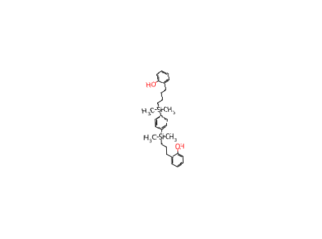 C[Si](C)(CCCCc1ccccc1O)c1ccc([Si](C)(C)CCCc2ccccc2O)cc1